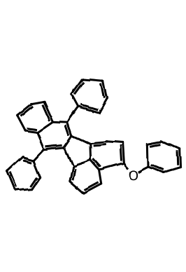 c1ccc(Oc2ccc3c4c(cccc24)-c2c-3c(-c3ccccc3)c3ccccc3c2-c2ccccc2)cc1